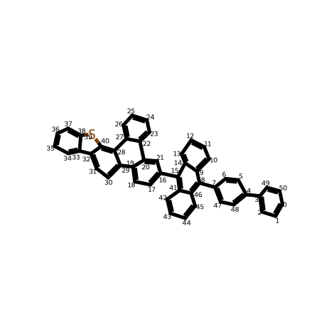 c1ccc(-c2ccc(-c3c4ccccc4c(-c4ccc5c(c4)c4ccccc4c4c5ccc5c6ccccc6sc54)c4ccccc34)cc2)cc1